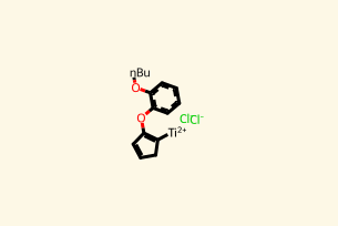 CCCCOc1ccccc1OC1=[C]([Ti+2])CC=C1.[Cl-].[Cl-]